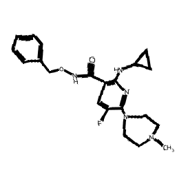 CN1CCN(c2nc(NC3CC3)c(C(=O)NOCc3ccccc3)cc2F)CC1